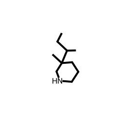 CCC(C)C1(C)CCCNC1